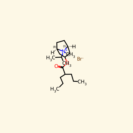 CCCC(CCC)C(=O)OC1C[C@H]2CC[C@@H](C1)[N+]2(C)C(C)C.[Br-]